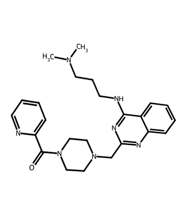 CN(C)CCCNc1nc(CN2CCN(C(=O)c3ccccn3)CC2)nc2ccccc12